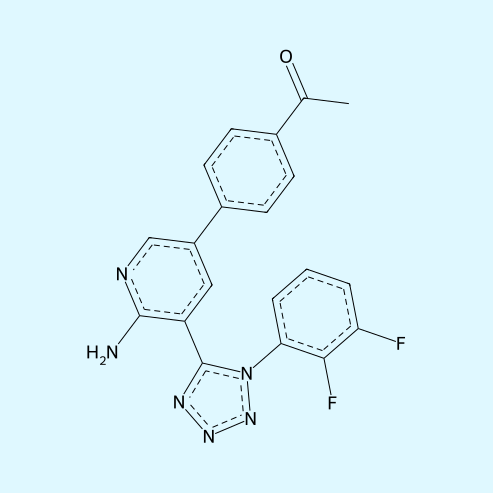 CC(=O)c1ccc(-c2cnc(N)c(-c3nnnn3-c3cccc(F)c3F)c2)cc1